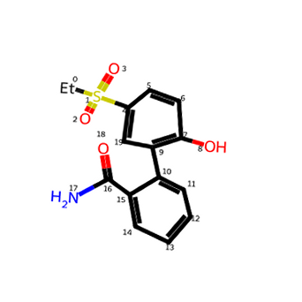 CCS(=O)(=O)c1ccc(O)c(-c2ccccc2C(N)=O)c1